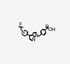 CC(C)(F)CN1CC=C(c2ccnc3c2ccn3Cc2ccc(C(=O)O)cc2)CC1